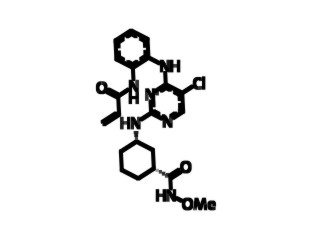 C=CC(=O)Nc1ccccc1Nc1nc(N[C@H]2CCC[C@@H](C(=O)NOC)C2)ncc1Cl